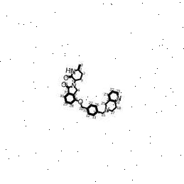 C=C1CCC(N2Cc3c(OCc4ccc(CN5CCc6ncccc6C5)cc4)cccc3C2=O)C(=O)N1